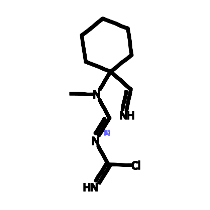 CN(/C=N/C(=N)Cl)C1(C=N)CCCCC1